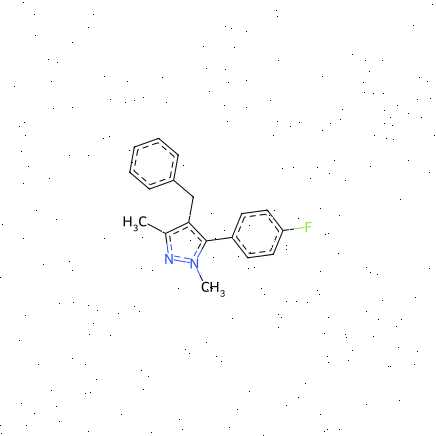 Cc1nn(C)c(-c2ccc(F)cc2)c1Cc1ccccc1